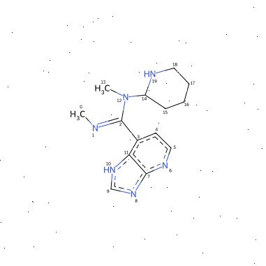 CN=C(c1ccnc2nc[nH]c12)N(C)C1CCCCN1